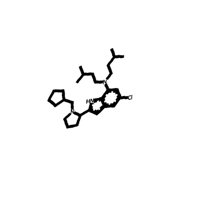 CC(C)CCN(CCC(C)C)c1cc(Cl)cc2cc(C3CCCN3CC3CCCC3)[nH]c12